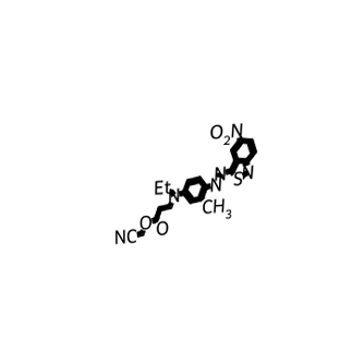 CCN(CCC(=O)OCC#N)c1ccc(/N=N/c2snc3ccc([N+](=O)[O-])cc23)c(C)c1